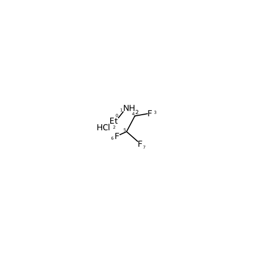 CCN.Cl.FCC(F)F